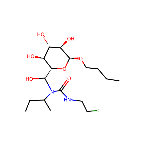 CCCCO[C@H]1O[C@H](C(O)N(C(=O)NCCCl)C(C)CC)[C@@H](O)[C@H](O)[C@H]1O